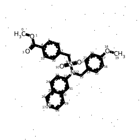 COC(=O)c1ccc(CS(=O)(=O)N(Cc2ccc(OC)cc2)c2ccc3cnccc3c2)cc1